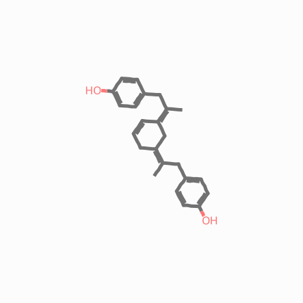 CC(Cc1ccc(O)cc1)=C1C=CCC(=C(C)Cc2ccc(O)cc2)C1